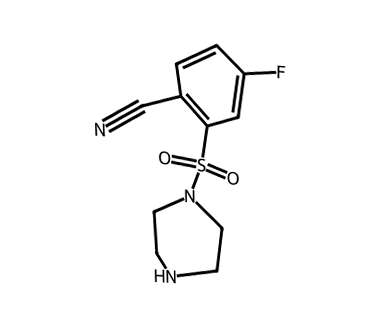 N#Cc1ccc(F)cc1S(=O)(=O)N1CCNCC1